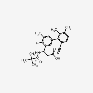 Cc1ccc(C#N)c(-c2cc(C)c(F)c(C(CC(=O)O)N[S@+]([O-])C(C)(C)C)c2)c1C